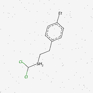 CCc1ccc(CC[SiH2]C(Cl)Cl)cc1